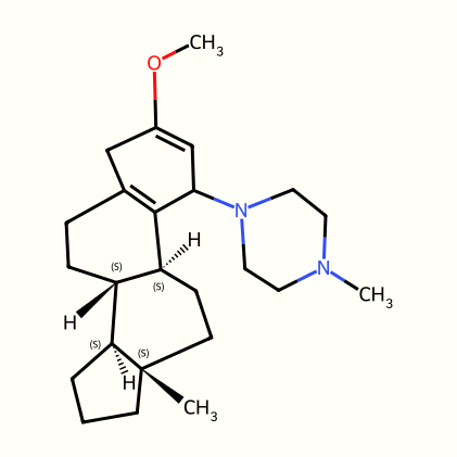 COC1=CC(N2CCN(C)CC2)C2=C(CC[C@@H]3[C@@H]2CC[C@]2(C)CCC[C@@H]32)C1